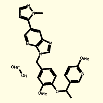 COc1ccc(C(C)Oc2ccc(Cn3cnc4cc(-c5ccnn5C)cnc43)cc2OC)cn1.O=CO